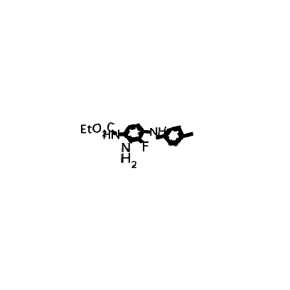 CCOC(=O)Nc1ccc(NCc2ccc(C)cc2)c(F)c1N